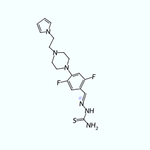 NC(=S)N/N=C/c1cc(F)c(N2CCN(CCn3cccc3)CC2)cc1F